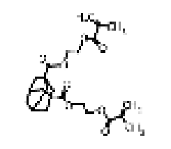 C=C(C)C(=O)OCCOC(=O)C12CC3CC(C1)CC(C(=O)OCCOC(=O)C(=C)C)(C3)C2